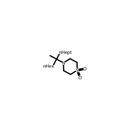 CCCCCCCC(C)(CCCCCC)N1CCS(=O)(=O)CC1